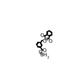 BOC(=O)c1cccc(CON2C(=O)c3ccccc3C2=O)c1